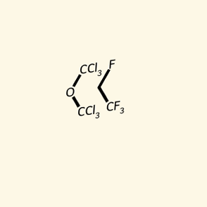 ClC(Cl)(Cl)OC(Cl)(Cl)Cl.FCC(F)(F)F